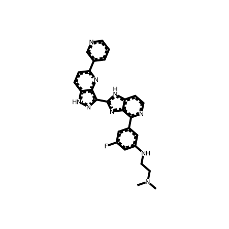 CN(C)CCNc1cc(F)cc(-c2nccc3[nH]c(-c4n[nH]c5ccc(-c6cccnc6)nc45)nc23)c1